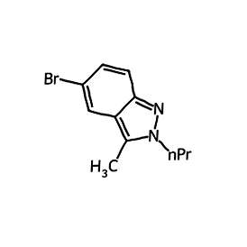 CCCn1nc2ccc(Br)cc2c1C